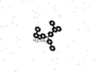 CC1(C)c2cc(N(c3ccc(-c4ccccc4)cc3)c3ccc(-c4cc(-c5ccccc5)c5ccccc5c4)cc3)ccc2-c2c(-c3ccccc3)cccc21